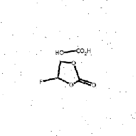 O=C(O)O.O=C1OCC(F)O1